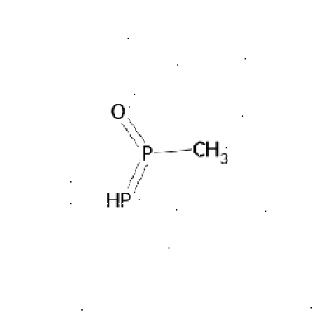 CP(=O)=P